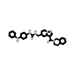 O=C(NCc1ccn2ncc(C(=O)N3CCc4ccccc4C3)c2c1)Nc1ccc(Nc2ccccc2)cc1